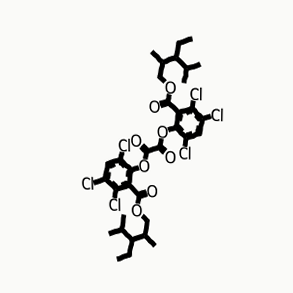 CCC(C(C)C)C(C)COC(=O)c1c(Cl)c(Cl)cc(Cl)c1OC(=O)C(=O)Oc1c(Cl)cc(Cl)c(Cl)c1C(=O)OCC(C)C(CC)C(C)C